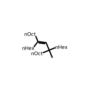 CCCCCCCCC(=CC(C)(CCCCCC)CCCCCCCC)CCCCCC